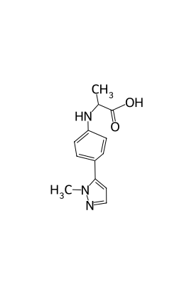 CC(Nc1ccc(-c2ccnn2C)cc1)C(=O)O